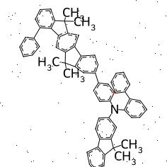 CC1(C)c2ccccc2-c2ccc(N(c3ccc(-c4ccc5c(c4)C(C)(C)c4cc6c(cc4-5)C(C)(C)c4cccc(-c5ccccc5)c4-6)cc3)c3ccccc3-c3ccccc3)cc21